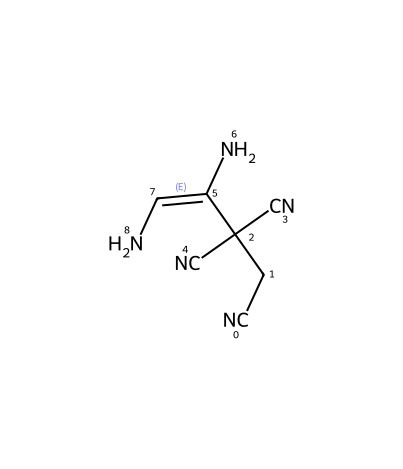 N#CCC(C#N)(C#N)/C(N)=C\N